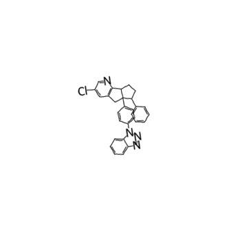 Clc1cnc2c(c1)CC1(c3ccc(-n4nnc5ccccc54)cc3)C(c3ccccc3)CCC21